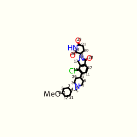 CO[C@H]1CC[C@H](CN2CCC(c3ccc4c(c3Cl)CN(C3CCC(=O)NC3=O)C4=O)CC2)CC1